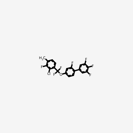 Cc1ccc(C(F)(F)Oc2ccc(-c3cc(F)c(F)c(F)c3)c(F)c2)c(Cl)c1F